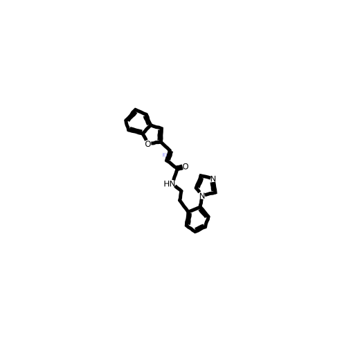 O=C(/C=C/c1cc2ccccc2o1)NCCc1ccccc1-n1ccnc1